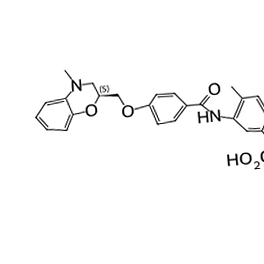 Cc1ccc(CC(=O)O)cc1NC(=O)c1ccc(OC[C@@H]2CN(C)c3ccccc3O2)cc1